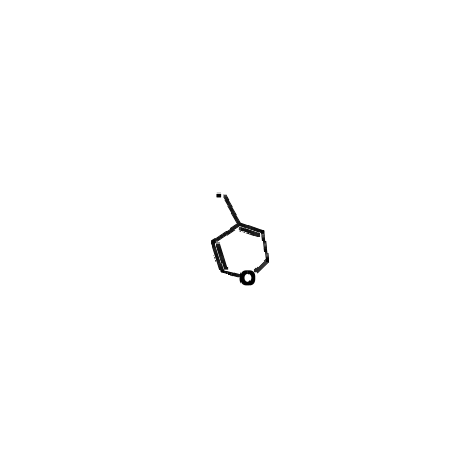 [CH2]C1=CCOC=C1